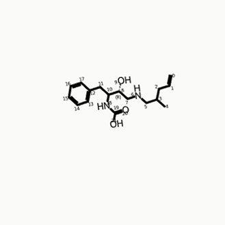 C=CCC(C)CNC[C@@H](O)C(Cc1ccccc1)NC(=O)O